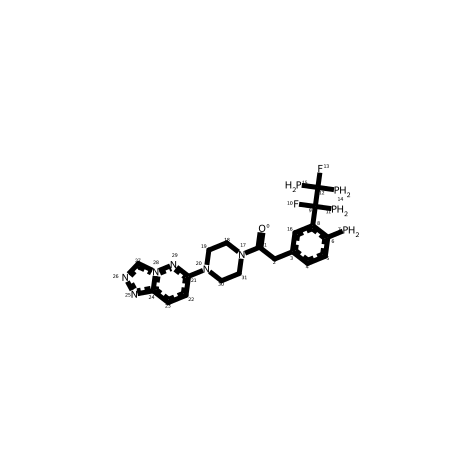 O=C(Cc1ccc(P)c(C(F)(P)C(F)(P)P)c1)N1CCN(c2ccc3nncn3n2)CC1